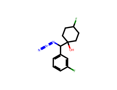 [N-]=[N+]=NC(c1cccc(F)c1)C1(O)CCC(F)CC1